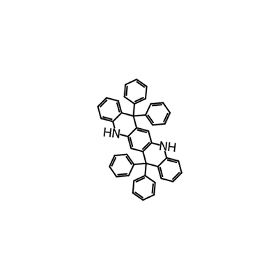 c1ccc(C2(c3ccccc3)c3ccccc3Nc3cc4c(cc32)Nc2ccccc2C4(c2ccccc2)c2ccccc2)cc1